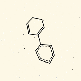 [C]1C=C(c2ccccc2)C=CC1